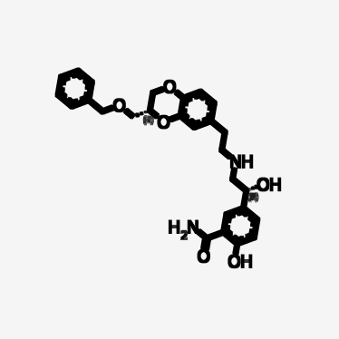 NC(=O)c1cc([C@@H](O)CNCCc2ccc3c(c2)O[C@H](COCc2ccccc2)CO3)ccc1O